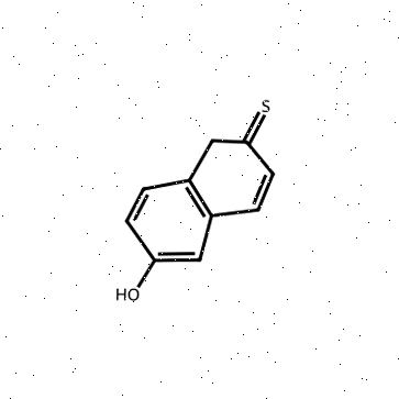 Oc1ccc2c(c1)C=CC(=S)C2